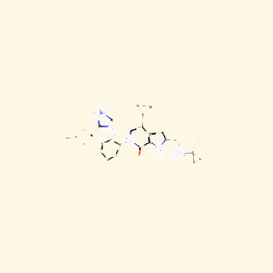 CC1CC(c2cccc(-n3cc(C4CC4)c4cc(CNC5(C(F)(F)F)CC5)[nH]c4c3=O)c2)(c2nncn2C)C1